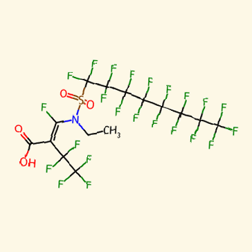 CCN(C(F)=C(C(=O)O)C(F)(F)C(F)(F)F)S(=O)(=O)C(F)(F)C(F)(F)C(F)(F)C(F)(F)C(F)(F)C(F)(F)C(F)(F)C(F)(F)F